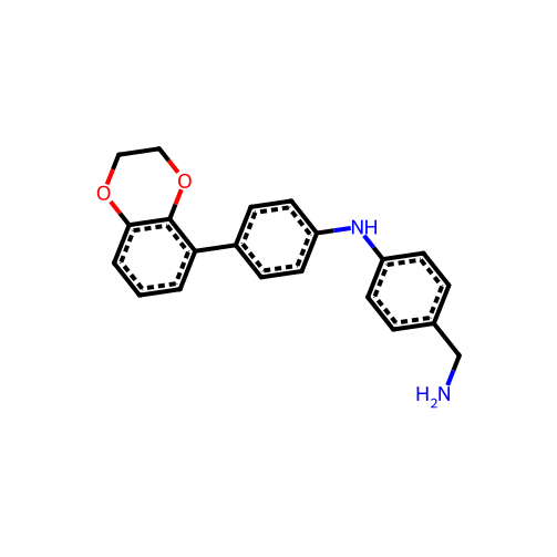 NCc1ccc(Nc2ccc(-c3cccc4c3OCCO4)cc2)cc1